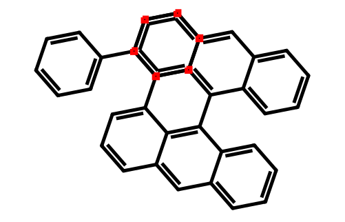 c1ccc(-c2ccccc2-c2cccc3cc4ccccc4c(-c4c5ccccc5cc5ccccc45)c23)cc1